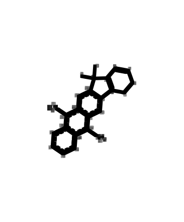 CC1(C)C2=C(CCC=C2)c2cc3c(N)c4ccccc4c(N)c3cc21